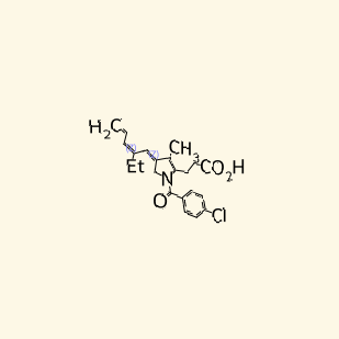 C=C/C=C(\C=C1/CN(C(=O)c2ccc(Cl)cc2)C(CCC(=O)O)=C1C)CC